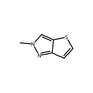 Cn1cc2sccc2n1